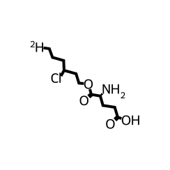 [2H]CCCC(Cl)CCOC(=O)[C@@H](N)CCC(=O)O